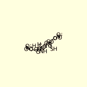 C[C@@H]1CN(C(=O)[C@@H]2C[C@H](S)CN2C(=O)OCc2ccc([N+](=O)[O-])cc2)CCN1C(=N)NC(=O)OCc1ccc([N+](=O)[O-])cc1